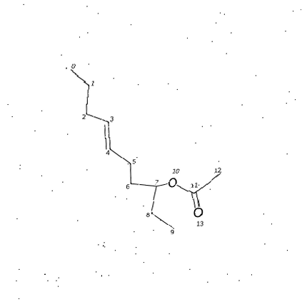 CCCC=CCCC(CC)OC(C)=O